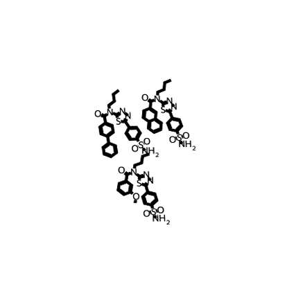 CCCCN(C(=O)c1ccc(-c2ccccc2)cc1)c1nnc(-c2ccc(S(N)(=O)=O)cc2)s1.CCCCN(C(=O)c1ccc2ccccc2c1)c1nnc(-c2ccc(S(N)(=O)=O)cc2)s1.CCCCN(C(=O)c1cccc(OC)c1)c1nnc(-c2ccc(S(N)(=O)=O)cc2)s1